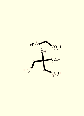 CCCCCCCCCCCC(=O)O.O=C(O)CC(O)(CC(=O)O)C(=O)O